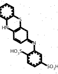 O=S(=O)(O)c1ccc(S(=O)(=O)O)c(N=C2C=CC3=C(C2)Sc2ccccc2N3)c1